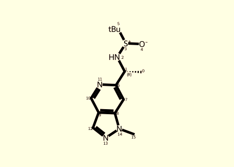 C[C@@H](N[S+]([O-])C(C)(C)C)c1cc2c(cn1)cnn2C